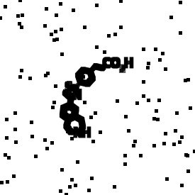 O=C(O)CC[C@H]1CC[C@H](c2nc(-c3ccc4c(c3)CCNCC4)cs2)CC1